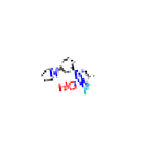 ON1N(F)[C]=CN1c1cccc(N2CCCC2)c1